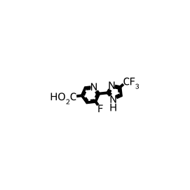 O=C(O)c1cnc(-c2nc(C(F)(F)F)c[nH]2)c(F)c1